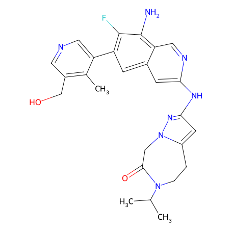 Cc1c(CO)cncc1-c1cc2cc(Nc3cc4n(n3)CC(=O)N(C(C)C)CC4)ncc2c(N)c1F